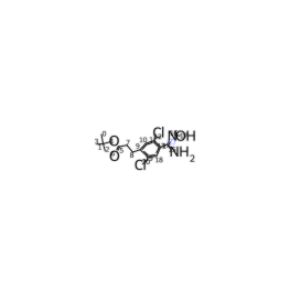 CC(C)(C)OC(=O)CCc1cc(Cl)c(/C(N)=N/O)cc1Cl